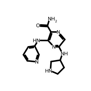 NC(=O)c1ncc(NC2CCNC2)nc1Nc1cccnc1